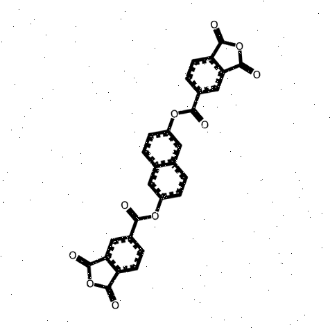 O=C(Oc1ccc2cc(OC(=O)c3ccc4c(c3)C(=O)OC4=O)ccc2c1)c1ccc2c(c1)C(=O)OC2=O